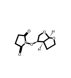 O=C1CCC(=O)N1O[C@H]1CO[C@H]2OCC[C@H]21